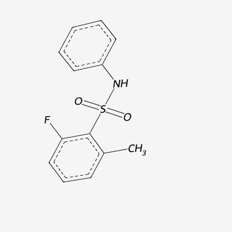 Cc1cccc(F)c1S(=O)(=O)Nc1ccccc1